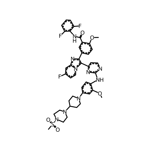 COc1cc(N2CCC(N3CCN(S(C)(=O)=O)CC3)CC2)ccc1Nc1nccc(-c2c(-c3ccc(OC)c(C(=O)Nc4c(F)cccc4F)c3)nc3cc(F)ccn23)n1